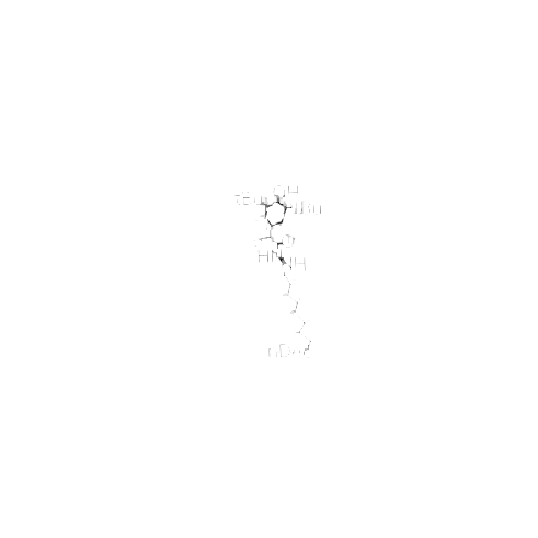 CCCCCCCCCCCCCCCCCCNNC(=O)C(C)c1cc(C(C)(C)C)c(O)c(C(C)(C)C)c1